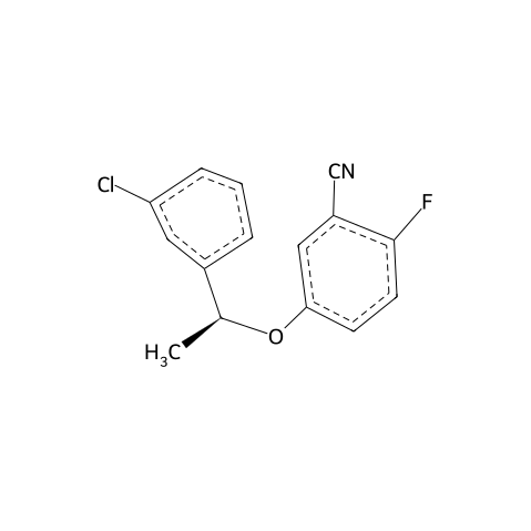 C[C@H](Oc1ccc(F)c(C#N)c1)c1cccc(Cl)c1